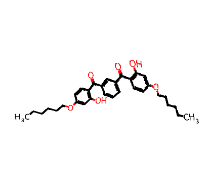 CCCCCCOc1ccc(C(=O)c2cccc(C(=O)c3ccc(OCCCCCC)cc3O)c2)c(O)c1